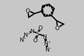 [N-]=[N+]=NS(=O)(=O)N=[N+]=[N-].c1cc(C2CO2)cc(C2CO2)c1